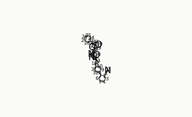 N#Cc1ccccc1-c1ccc(CSc2nnc(C3=COC=C(C4=CC=CCC4)O3)o2)cc1